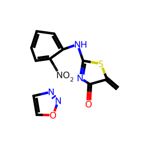 C=C1SC(Nc2ccccc2[N+](=O)[O-])=NC1=O.c1conn1